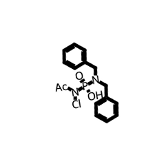 CC(=O)N(Cl)P(=O)(O)N(Cc1ccccc1)Cc1ccccc1